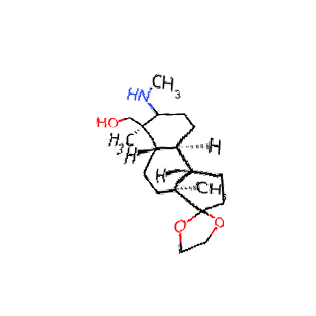 CNC1CC[C@@H]2[C@H](CC[C@@]3(C)[C@H]2CCC32OCCO2)[C@@]1(C)CO